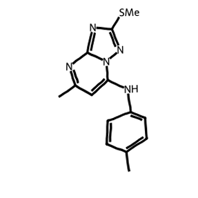 CSc1nc2nc(C)cc(Nc3ccc(C)cc3)n2n1